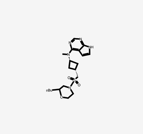 CCCCC1CN(S(=O)(=O)C[C@H]2C[C@@H](N(C)c3ncnc4[nH]ccc34)C2)CCO1